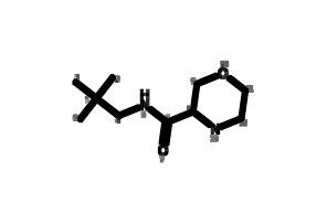 CC(C)(C)CNC(=O)C1COCC[N]1